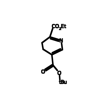 CCOC(=O)C1=NC=C(C(=O)OC(C)(C)C)CC1